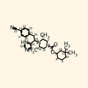 C[C@@H]1CN(C(=O)OC2CCCC(C)(C)C2)C[C@H](C)N1C(Cc1ccc(C#N)cc1)c1cnc[nH]1